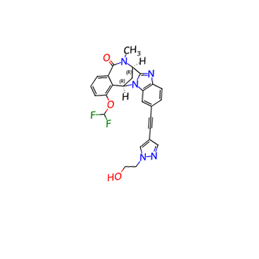 CN1C(=O)c2cccc(OC(F)F)c2[C@H]2C[C@@H]1c1nc3ccc(C#Cc4cnn(CCO)c4)cc3n12